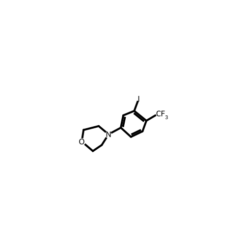 FC(F)(F)c1ccc(N2CCOCC2)cc1I